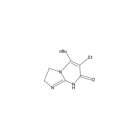 CCCCC1=C(CC)C(=O)NC2=NCCN21